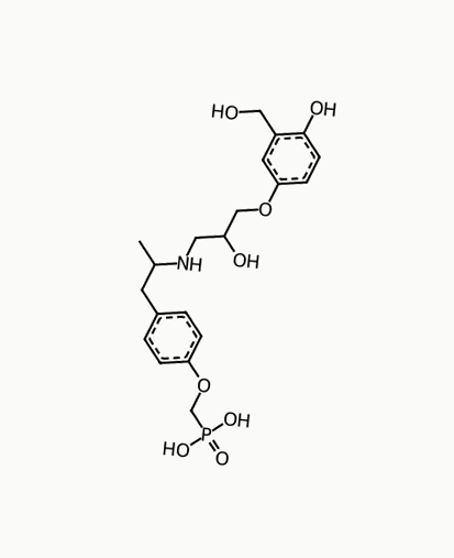 CC(Cc1ccc(OCP(=O)(O)O)cc1)NCC(O)COc1ccc(O)c(CO)c1